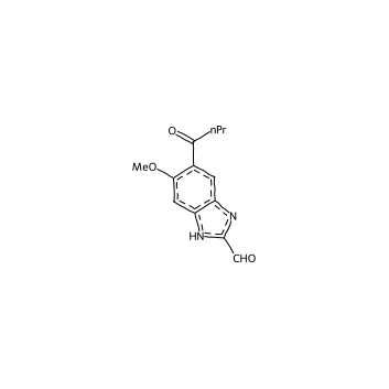 CCCC(=O)c1cc2nc(C=O)[nH]c2cc1OC